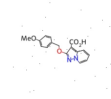 COc1ccc(COc2nn3ccccc3c2C(=O)O)cc1